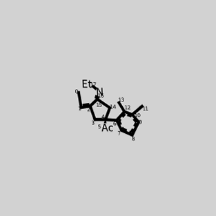 C/C=C1/C[C@@](C(C)=O)(c2cccc(C)c2C)C/C1=N/CC